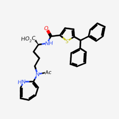 CC(=O)N(CCC[C@H](NC(=O)c1ccc(C(c2ccccc2)c2ccccc2)s1)C(=O)O)C1=CC=CC=CN1